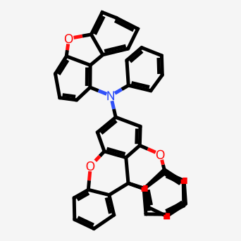 c1ccc(N(c2cc3c4c(c2)Oc2ccccc2C4(c2ccccc2)c2ccccc2O3)c2cccc3oc4ccccc4c23)cc1